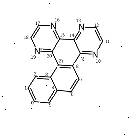 c1ccc2c(c1)ccc1c3nccnc3c3nccnc3c21